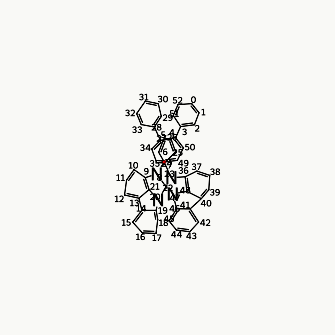 c1ccc(-c2ccc(N3c4cccc5c6ccccc6n(c45)C34N(c3ccc(-c5ccccc5)cc3)c3cccc5c6ccccc6n4c35)cc2)cc1